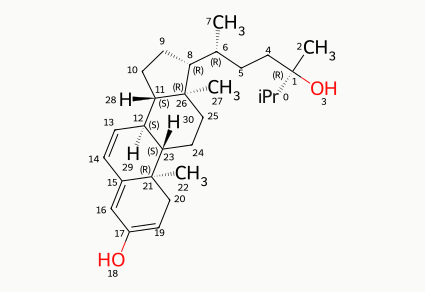 CC(C)[C@](C)(O)CC[C@@H](C)[C@H]1CC[C@H]2[C@@H]3C=CC4=CC(O)=CC[C@]4(C)[C@H]3CC[C@]12C